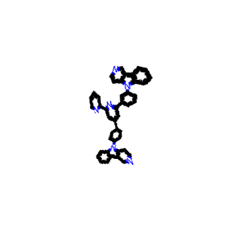 c1ccc(-c2cc(-c3ccc(-n4c5ccccc5c5cnccc54)cc3)cc(-c3cccc(-n4c5ccccc5c5cnccc54)c3)n2)nc1